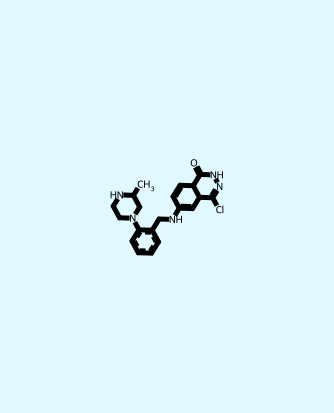 CC1CN(c2ccccc2CNC2=CC3C(Cl)=NNC(=O)C3C=C2)CCN1